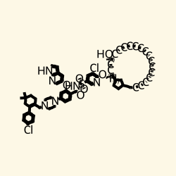 CC1(C)CCC(CN2CCN(c3ccc(C(=O)NS(=O)(=O)c4cnc(OC[C@H]5CC[C@](C)(O)CCCCCCCCCCCCCCCCC6CC[C@@H]5C6)c(Cl)c4)c(Oc4cnc5[nH]ccc5c4)c3)CC2)=C(c2ccc(Cl)cc2)C1